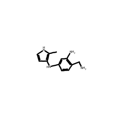 Cc1[nH]ccc1Nc1ccc(CN)c(N)c1